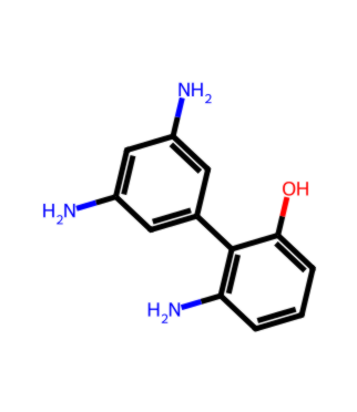 Nc1cc(N)cc(-c2c(N)cccc2O)c1